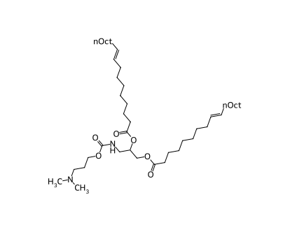 CCCCCCCCC=CCCCCCCCC(=O)OCC(CNC(=O)OCCCN(C)C)OC(=O)CCCCCCCC=CCCCCCCCC